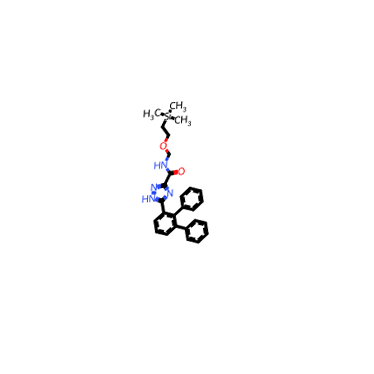 C[Si](C)(C)CCOCNC(=O)c1n[nH]c(-c2cccc(-c3ccccc3)c2-c2ccccc2)n1